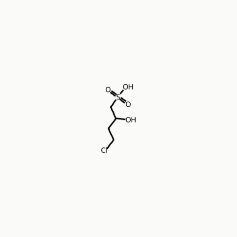 O=S(=O)(O)CC(O)CCCl